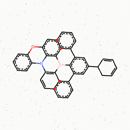 C1=CCC(c2cc(-c3ccccc3)c(B3C4=C(C=CCC4)N4c5ccccc5Oc5cccc3c54)c(-c3ccccc3)c2)C=C1